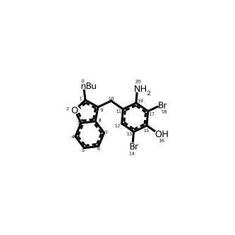 CCCCc1oc2ccccc2c1Cc1cc(Br)c(O)c(Br)c1N